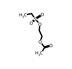 CCS(=O)(=O)OCCOC(C)=O